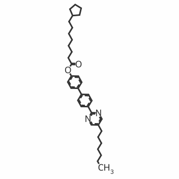 CCCCCCCc1cnc(-c2ccc(-c3ccc(OC(=O)CCCCCCCC4CCCC4)cc3)cc2)nc1